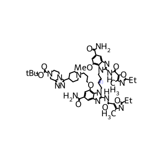 CCc1nc(C)c(C(=O)Nc2nc3cc(C(N)=O)cc(OC)c3n2C/C=C/Cn2c(NC(=O)c3oc(CC)nc3C)nc3cc(C(N)=O)cc(OCCCN4CCC(c5nnc6n5CCN(C(=O)OC(C)(C)C)C6)CC4)c32)o1